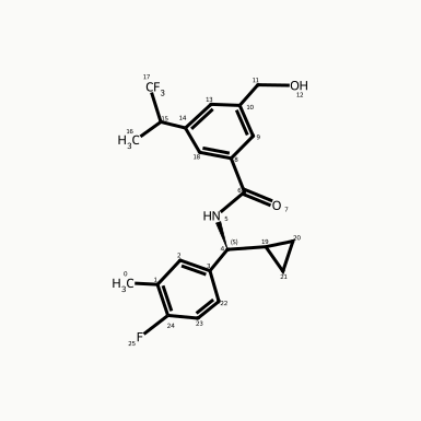 Cc1cc([C@@H](NC(=O)c2cc(CO)cc(C(C)C(F)(F)F)c2)C2CC2)ccc1F